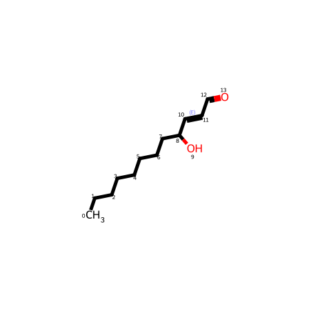 CCCCCCCCC(O)/C=C/C=O